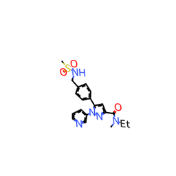 CCN(C)C(=O)c1cc(-c2ccc(CNS(C)(=O)=O)cc2)n(-c2cccnc2)n1